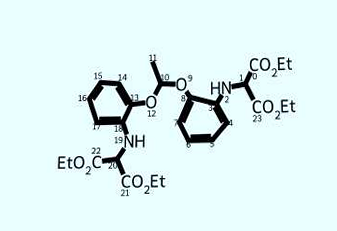 CCOC(=O)C(Nc1ccccc1OC(C)Oc1ccccc1NC(C(=O)OCC)C(=O)OCC)C(=O)OCC